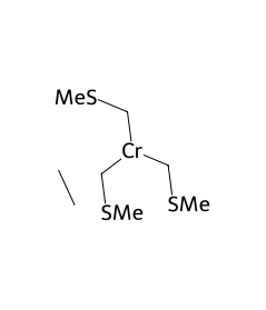 CC.CS[CH2][Cr]([CH2]SC)[CH2]SC